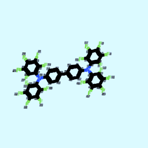 Fc1c(F)c(F)c(N(c2ccc(-c3ccc(N(c4c(F)c(F)c(F)c(F)c4F)c4c(F)c(F)c(F)c(F)c4F)cc3)cc2)c2c(F)c(F)c(F)c(F)c2F)c(F)c1F